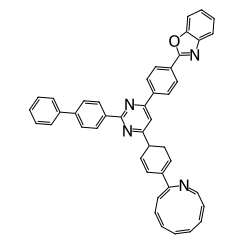 C1=CC(c2cc(-c3ccc(-c4nc5ccccc5o4)cc3)nc(-c3ccc(-c4ccccc4)cc3)n2)CC=C1c1ccccccccn1